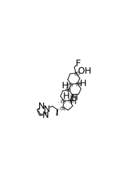 C=C(Cn1nccn1)[C@H]1CC[C@H]2[C@@H]3CC[C@H]4C[C@](O)(CF)CC[C@@H]4[C@H]3CC[C@]12C